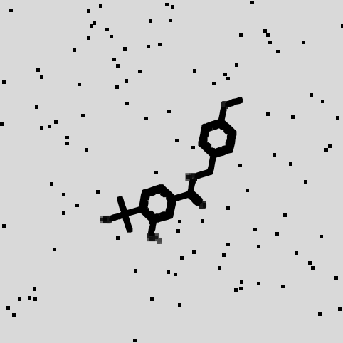 COc1ccc(CNC(=O)c2ccc(C(C)(C)O)c(N)c2)cc1